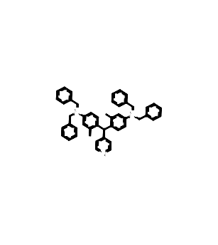 Cc1cc(N(Cc2ccccc2)Cc2ccccc2)ccc1C(c1ccncc1)c1ccc(N(Cc2ccccc2)Cc2ccccc2)cc1C